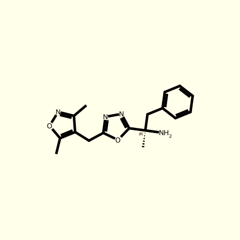 Cc1noc(C)c1Cc1nnc([C@](C)(N)Cc2ccccc2)o1